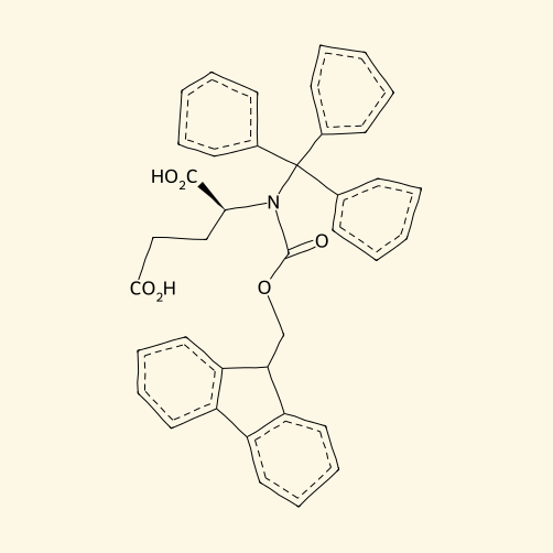 O=C(O)CC[C@@H](C(=O)O)N(C(=O)OCC1c2ccccc2-c2ccccc21)C(c1ccccc1)(c1ccccc1)c1ccccc1